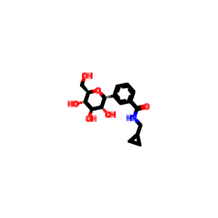 O=C(NCC1CC1)c1cccc([C@H]2O[C@H](CO)[C@@H](O)[C@H](O)[C@H]2O)c1